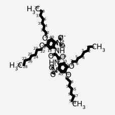 CCCCCCCCOc1cc(NC(=O)C(=O)Nc2cc(OCCCCCCCC)c(OCCCCCCCC)cc2[N+](=O)[O-])c([N+](=O)[O-])cc1OCCCCCCCC